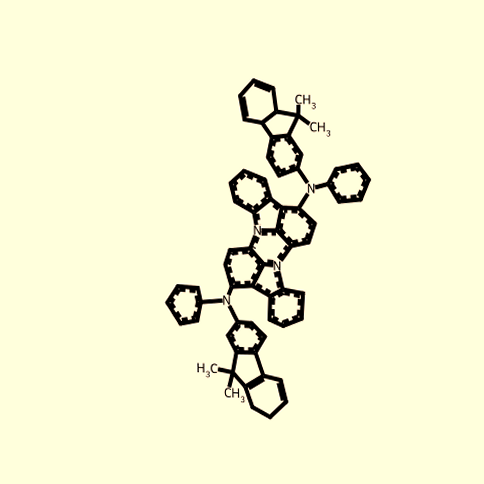 CC1(C)C2=C(C=CCC2)c2ccc(N(c3ccccc3)c3ccc4c5c3c3ccccc3n5c3ccc(N(c5ccccc5)c5ccc6c(c5)C(C)(C)C5C=CC=CC65)c5c6ccccc6n4c53)cc21